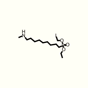 CCOP(=O)(CCCCCCCCCNC)OCI